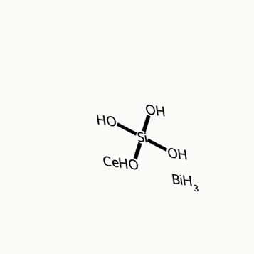 O[Si](O)(O)O.[BiH3].[Ce]